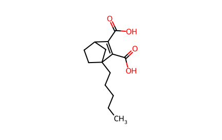 CCCCCC12CCC(C1)C(C(=O)O)=C2C(=O)O